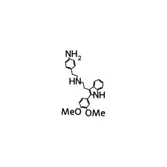 COc1ccc(-c2[nH]c3ccccc3c2CCNCCc2ccc(N)cc2)cc1OC